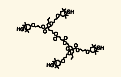 CCCCC(CCCOC(=O)CCC(=O)OCCCC(CCCC)(C(=O)OCCCOC1CC(C)(C)N(O)C(C)(C)C1)C(=O)OCCCOC1CC(C)(C)N(O)C(C)(C)C1)(COCCCOC1CC(C)(C)N(O)C(C)(C)C1)C(=O)OCCCOC1CC(C)(C)N(O)C(C)(C)C1